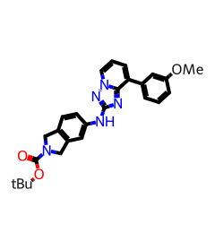 COc1cccc(-c2cccn3nc(Nc4ccc5c(c4)CN(C(=O)OC(C)(C)C)C5)nc23)c1